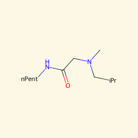 CCCCCNC(=O)CN(C)CC(C)C